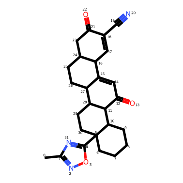 Cc1noc(C23CCCCC2C2C(=O)C=C4C5C=C(C#N)C(=O)CC5CCC4C2CC3)n1